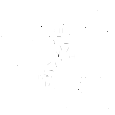 CCC(C)NS(=O)(=O)c1ccc(N=Nc2c(O)ccc3cc(C)ccc23)cc1